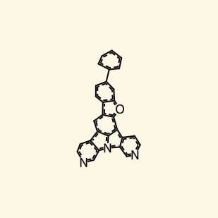 c1ccc(-c2ccc3c(c2)oc2c3cc3c4ccncc4n4c5cnccc5c2c34)cc1